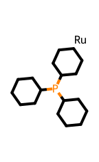 C1CCC(P(C2CCCCC2)C2CCCCC2)CC1.[Ru]